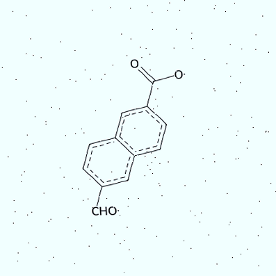 [O]C(=O)c1ccc2cc([C]=O)ccc2c1